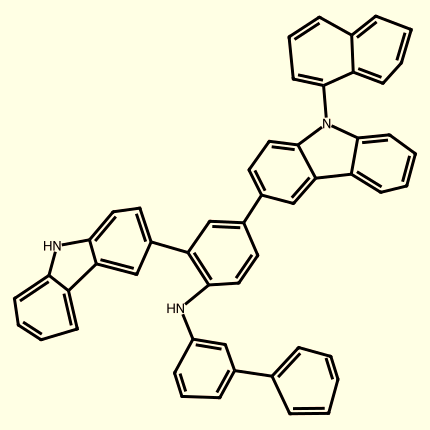 c1ccc(-c2cccc(Nc3ccc(-c4ccc5c(c4)c4ccccc4n5-c4cccc5ccccc45)cc3-c3ccc4[nH]c5ccccc5c4c3)c2)cc1